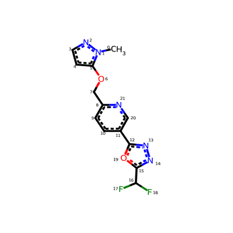 Cn1nccc1OCc1ccc(-c2nnc(C(F)F)o2)cn1